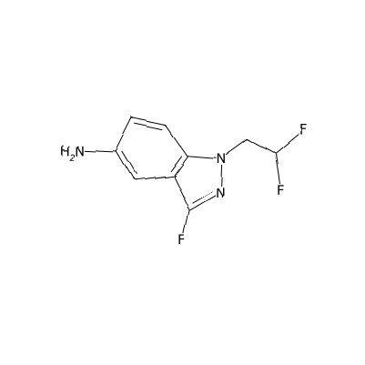 Nc1ccc2c(c1)c(F)nn2CC(F)F